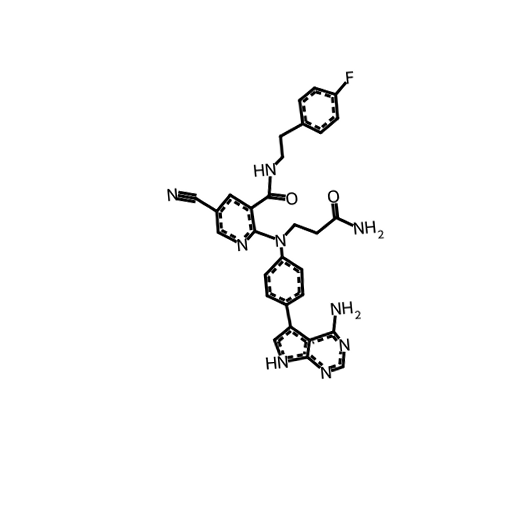 N#Cc1cnc(N(CCC(N)=O)c2ccc(-c3c[nH]c4ncnc(N)c34)cc2)c(C(=O)NCCc2ccc(F)cc2)c1